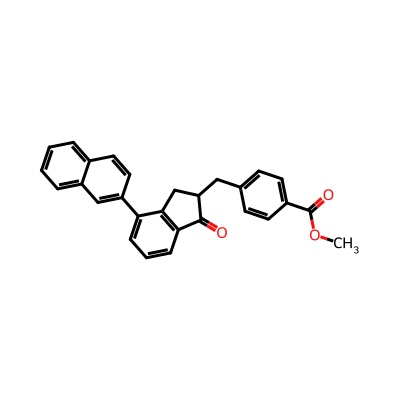 COC(=O)c1ccc(CC2Cc3c(cccc3-c3ccc4ccccc4c3)C2=O)cc1